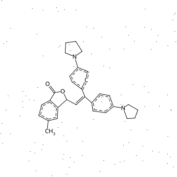 Cc1ccc2c(c1)C(C=C(c1ccc(N3CCCC3)cc1)c1ccc(N3CCCC3)cc1)OC2=O